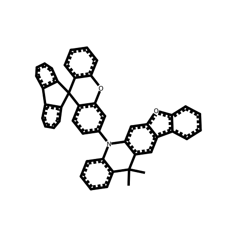 CC1(C)c2ccccc2N(c2ccc3c(c2)Oc2ccccc2C32c3ccccc3-c3ccccc32)c2cc3oc4ccccc4c3cc21